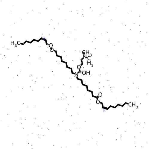 CCCCCC/C=C\COOCCCCCCCCN(CCCCCCCC(=O)OC/C=C\CCCCCC)[C@@H](O)OCCN(C)C